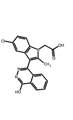 Cc1c(-c2nnc(O)c3ccccc23)c2cc(Cl)ccc2n1CC(=O)O